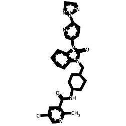 Cc1ncc(Cl)cc1C(=O)NC1CCC(Cn2c(=O)n(-c3ccc(-n4nccn4)nc3)c3ccccc32)CC1